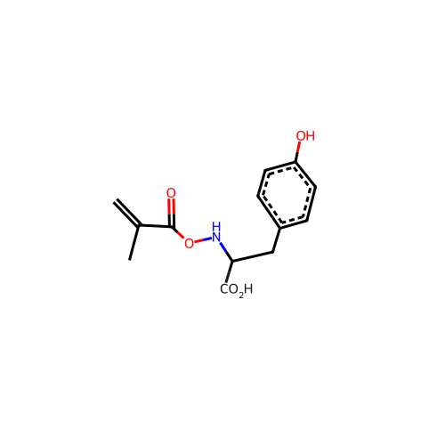 C=C(C)C(=O)ONC(Cc1ccc(O)cc1)C(=O)O